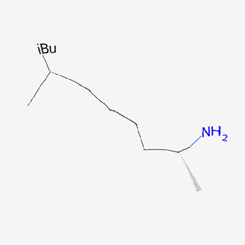 CCC(C)C(C)CCCC[C@@H](C)N